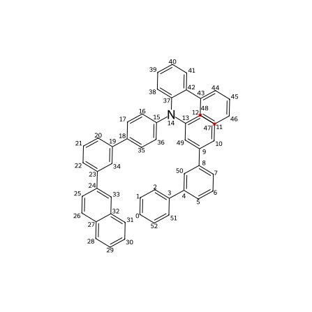 c1ccc(-c2cccc(-c3cccc(N(c4ccc(-c5cccc(-c6ccc7ccccc7c6)c5)cc4)c4ccccc4-c4ccccc4)c3)c2)cc1